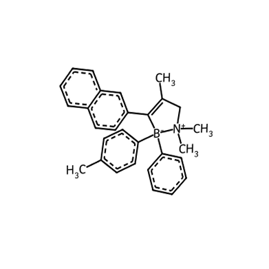 CC1=C(c2ccc3ccccc3c2)[B-](c2ccccc2)(c2ccc(C)cc2)[N+](C)(C)C1